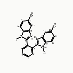 Cn1c(-c2ccccc2-c2nc3cc(Br)ccc3n2C)nc2cc(Br)ccc21